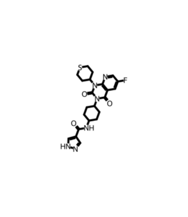 O=C(NC1CCC(n2c(=O)c3cc(F)cnc3n(C3CCSCC3)c2=O)CC1)c1cn[nH]c1